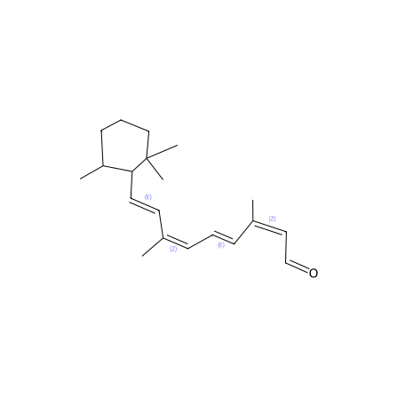 CC(=C/C=O)/C=C/C=C(C)\C=C\C1C(C)CCCC1(C)C